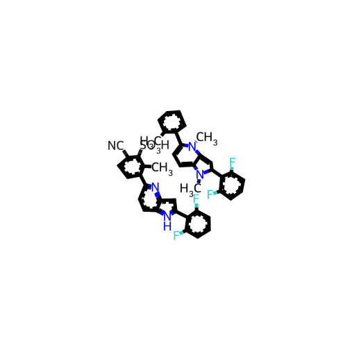 Cc1c(-c2ccc3[nH]c(-c4c(F)cccc4F)cc3n2)ccc(C#N)c1S(=O)(=O)O.Cc1ccccc1C1=CC=C2C(=CC(c3c(F)cccc3F)N2C)N1C